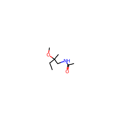 CCC(C)(CNC(C)=O)OC